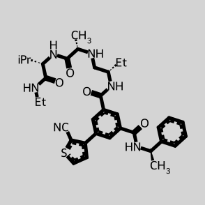 CCNC(=O)[C@@H](NC(=O)[C@H](C)NC[C@H](CC)NC(=O)c1cc(C(=O)N[C@H](C)c2ccccc2)cc(-c2ccsc2C#N)c1)C(C)C